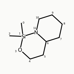 C[Si]1(C)OCCC2CCCCN21